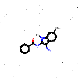 CCn1c(NC(=O)c2ccccc2)c(N)c2ccc(OC)cc21